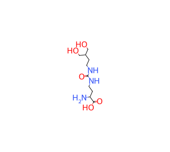 NC(CCNC(=O)NCCC(CO)CO)C(=O)O